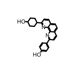 Oc1ccc(-c2ccc3ccc4ccc(C5CCC(O)CC5)nc4c3n2)cc1